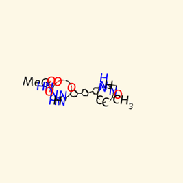 COC(=O)N[C@H]1COCCCCOc2cc(-c3ccc(-c4cc5c6[nH]c(nc6c4)[C@@H]4CCCN4C(=O)[C@@H](C)CCCCC5)cc3)ccc2-c2c[nH]c(n2)[C@@H]2CCCN2C1=O